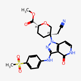 COC(=O)[C@H]1CC[C@](CC#N)(n2nc(Nc3ccc(S(C)(=O)=O)cc3)c3c(=O)[nH]ccc32)CO1